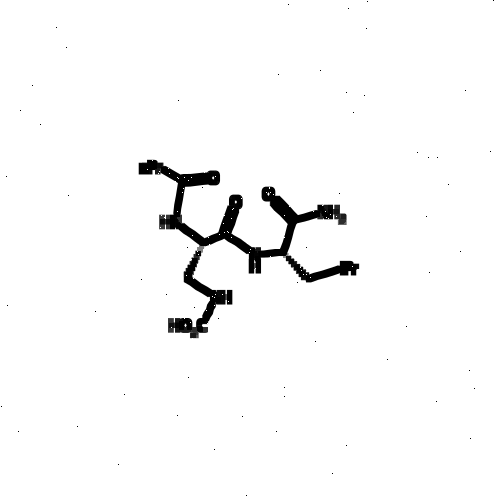 CCCC(=O)N[C@@H](CNC(=O)O)C(=O)N[C@@H](CC(C)C)C(N)=O